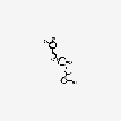 O=C(/C=C/c1ccc(Cl)c(Cl)c1)N1CCC(=O)N(CCC(=O)N2CCCCC2CO)CC1